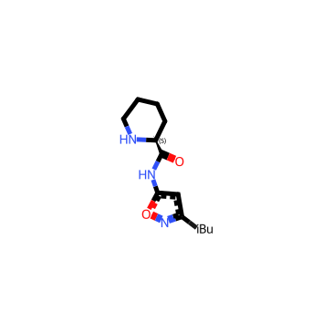 CCC(C)c1cc(NC(=O)[C@@H]2CCCCN2)on1